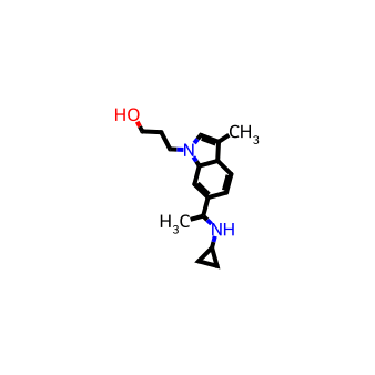 CC1=CN(CCCO)C2C=C(C(C)NC3CC3)C=CC12